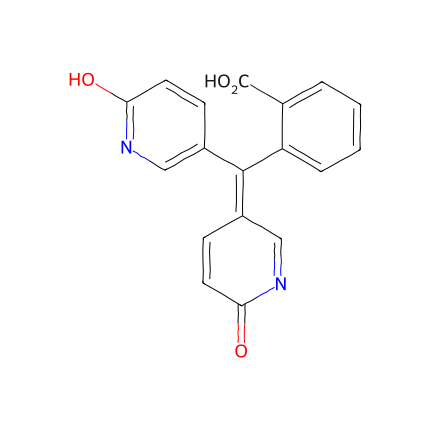 O=C1C=C/C(=C(\c2ccc(O)nc2)c2ccccc2C(=O)O)C=N1